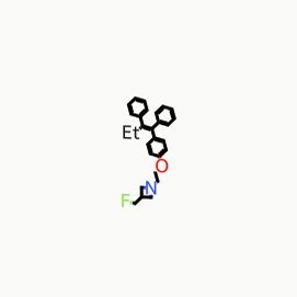 CCC(=C(c1ccccc1)c1ccc(OCCN2CC(CF)C2)cc1)c1ccccc1